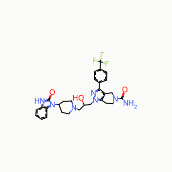 NC(=O)N1CCc2c(c(-c3ccc(C(F)(F)F)cc3)nn2CC(O)CN2CCC(n3c(=O)[nH]c4ccccc43)CC2)C1